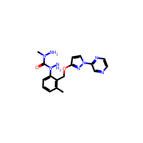 Cc1cccc(N(N)C(=O)N(C)N)c1COc1ccn(-c2cnccn2)n1